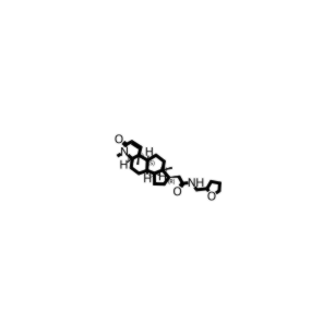 CN1C(=O)C=C[C@]2(C)[C@H]3CC[C@]4(C)[C@@H](CC(=O)NCC5CCCO5)CC[C@H]4[C@@H]3CC[C@@H]12